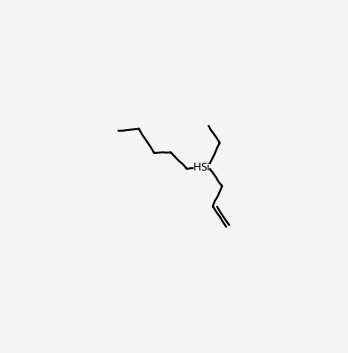 C=CC[SiH](CC)CCCCC